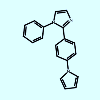 [c]1ccc(-n2ccnc2-c2ccc(-n3cccc3)cc2)cc1